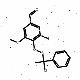 COc1cc(C=O)cc(I)c1OSC(C)(Cl)c1ccccc1